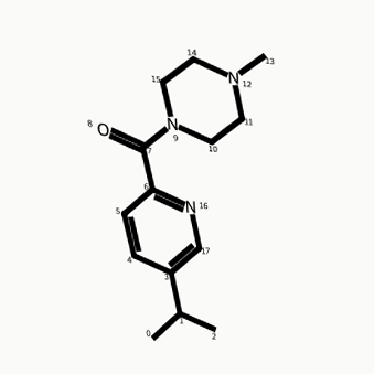 CC(C)c1ccc(C(=O)N2CCN(C)CC2)nc1